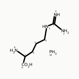 N=C(N)NCCCC(N)C(=O)O.P